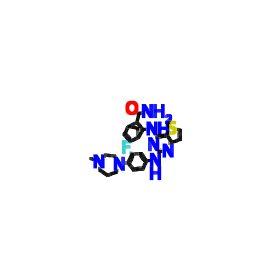 CN1CCCN(c2ccc(Nc3nc(NC4C5C=CC(C5)C4C(N)=O)c4sccc4n3)cc2F)CC1